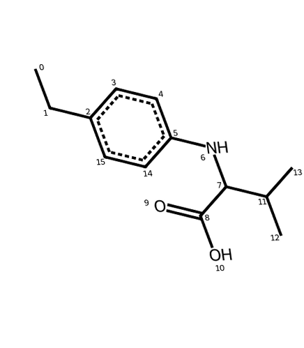 CCc1ccc(NC(C(=O)O)C(C)C)cc1